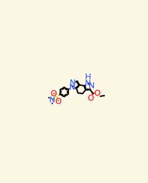 CCOC(=O)c1n[nH]c2c1CCc1c-2cnn1-c1ccc(S(=O)(=O)N(C)C)cc1